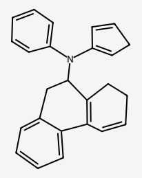 C1=CC(N(c2ccccc2)C2Cc3ccccc3C3=C2CCC=C3)=CC1